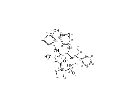 CC(C)(C)OC(=O)N1CCC[C@@H]1C(=O)NCC1(c2ccccc2)CCN(c2cnnc(-c3ccccc3O)c2)CC1